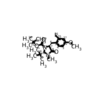 COc1ccc(C[C@H]2C(=O)N(C)[C@H](C(C)(C)C)N2C(=O)OC(C)(C)C)c(I)c1